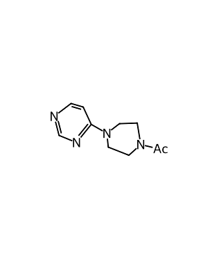 CC(=O)N1CCN(c2ccncn2)CC1